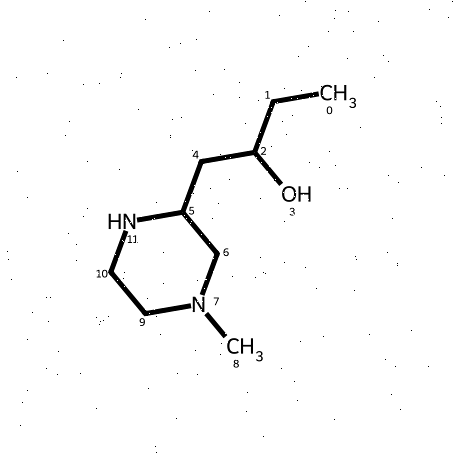 CCC(O)CC1CN(C)CCN1